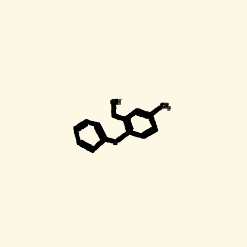 Cc1ccc(Sc2ccccc2)c(CO)c1